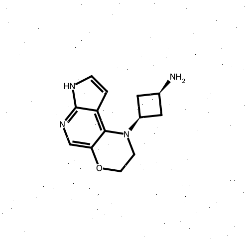 N[C@H]1C[C@@H](N2CCOc3cnc4[nH]ccc4c32)C1